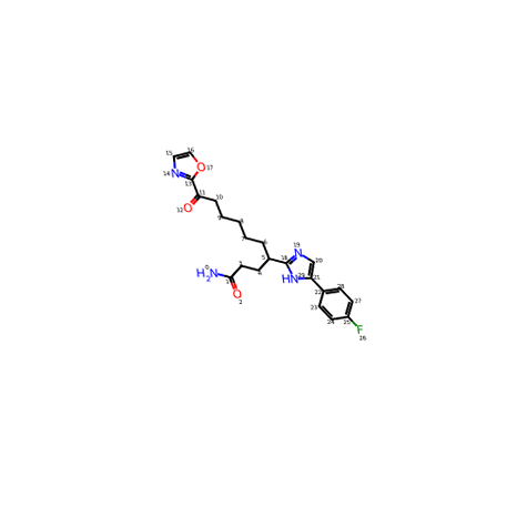 NC(=O)CCC(CCCCCC(=O)c1ncco1)c1ncc(-c2ccc(F)cc2)[nH]1